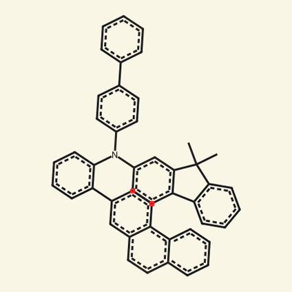 CC1(C)c2ccccc2-c2ccc(N(c3ccc(-c4ccccc4)cc3)c3ccccc3-c3ccc4c(ccc5ccccc54)c3)cc21